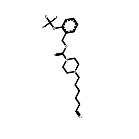 O=[C]CCCCCN1CCN(C(=O)OCc2ccccc2OC(F)(F)F)CC1